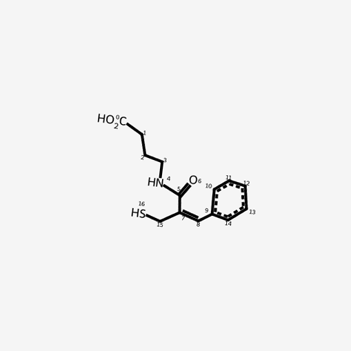 O=C(O)CCCNC(=O)/C(=C\c1ccccc1)CS